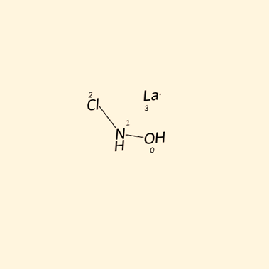 ONCl.[La]